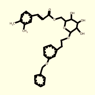 Cc1ccc(/C=C/C(=O)OCC2OC(OCCc3cccc(OCc4ccccc4)c3)C(O)C(O)C2O)cc1C